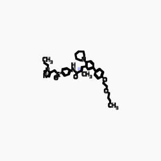 CCCCOCCOc1ccc(-c2ccc(N3CCCCCC3)c(/C=C(\C)C(=O)Nc3ccc([S@@+]([O-])Cc4cncn4CCC)cc3)c2)cc1